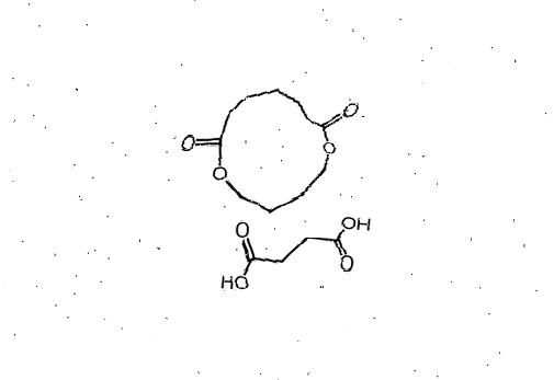 O=C(O)CCC(=O)O.O=C1CCCCC(=O)OCCCCO1